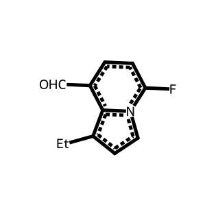 CCc1ccn2c(F)ccc(C=O)c12